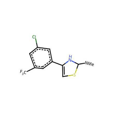 CNC1NC(c2cc(Cl)cc(C(F)(F)F)c2)=CS1